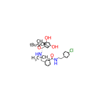 CC(C)(Cc1cccc(C(=O)NCCc2ccc(Cl)cc2)c1)NC[C@H](O[Si](C)(C)C(C)(C)C)c1cc(O)cc(O)c1